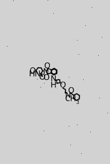 CN(CCCO[C@H]1C[C@H](Nc2cccc3c2C(=O)N(C2CCC(=O)NC2=O)C3=O)C1)C(=O)C1CCCCC1